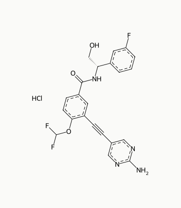 Cl.Nc1ncc(C#Cc2cc(C(=O)N[C@H](CO)c3cccc(F)c3)ccc2OC(F)F)cn1